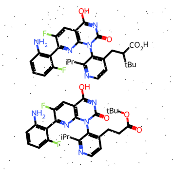 CC(C)c1nccc(CC(C(=O)O)C(C)(C)C)c1-n1c(=O)nc(O)c2cc(F)c(-c3c(N)cccc3F)nc21.CC(C)c1nccc(CCC(=O)OC(C)(C)C)c1-n1c(=O)nc(O)c2cc(F)c(-c3c(N)cccc3F)nc21